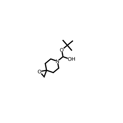 CC(C)(C)OC(O)N1CCC2(CC1)CO2